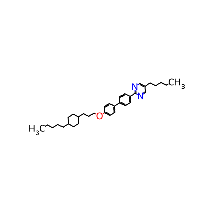 CCCCCc1cnc(-c2ccc(-c3ccc(OCCCC4CCC(CCCCC)CC4)cc3)cc2)nc1